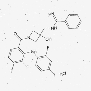 Cl.N=C(NCC1(O)CN(C(=O)c2ccc(F)c(F)c2Nc2ccc(I)cc2F)C1)c1ccccc1